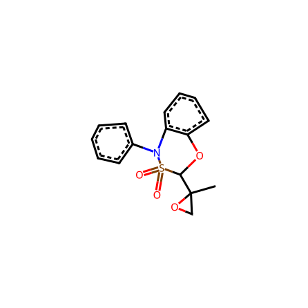 CC1(C2Oc3ccccc3N(c3ccccc3)S2(=O)=O)CO1